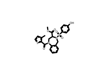 COC(=O)C1CN(C(=O)c2sccc2C)c2ccccc2CN1S(=O)(=O)c1ccc(O)cc1